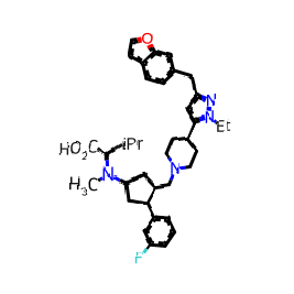 CCn1nc(Cc2ccc3ccoc3c2)cc1C1CCN(CC2CC(N(C)[C@@H](C(=O)O)C(C)C)CC2c2cccc(F)c2)CC1